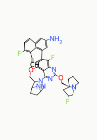 C#Cc1c(F)ccc2cc(N)cc(-c3cc4c5c(nc(OC[C@@]67CCCN6C[C@H](F)C7)nc5c3F)N3CC5CCC(N5)C3CO4)c12